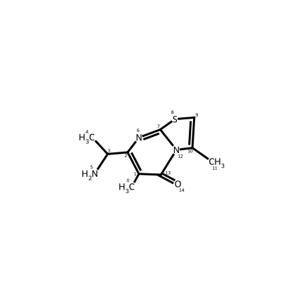 Cc1c(C(C)N)nc2scc(C)n2c1=O